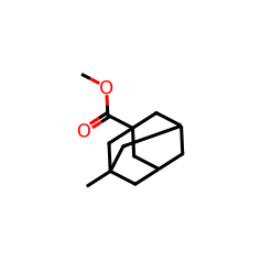 COC(=O)C12CC3CC(CC(C)(C3)C1)C2